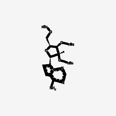 CCCCOC[C@H]1O[C@@H](c2ccc3c(N)ncnn23)[C@](C)(OCCCC)[C@@H]1OCCCC